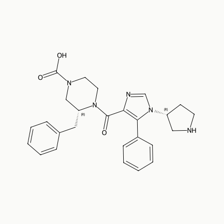 O=C(O)N1CCN(C(=O)c2ncn([C@@H]3CCNC3)c2-c2ccccc2)[C@H](Cc2ccccc2)C1